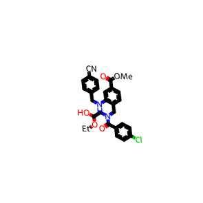 CCOC(O)CN(Cc1ccc(C(=O)OC)cc1NCc1ccc(C#N)cc1)C(=O)c1ccc(Cl)cc1